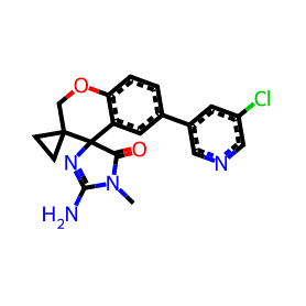 CN1C(=O)C2(N=C1N)c1cc(-c3cncc(Cl)c3)ccc1OCC21CC1